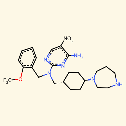 Nc1nc(N(Cc2ccccc2OC(F)(F)F)C[C@H]2CC[C@H](N3CCCNCC3)CC2)ncc1[N+](=O)[O-]